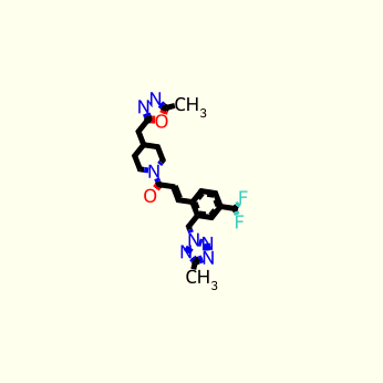 Cc1nnn(Cc2cc(C(F)F)ccc2/C=C/C(=O)N2CCC(Cc3nnc(C)o3)CC2)n1